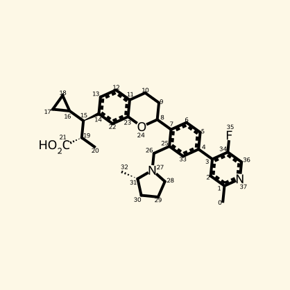 Cc1cc(-c2ccc(C3CCc4ccc([C@H](C5CC5)[C@H](C)C(=O)O)cc4O3)c(CN3CCC[C@@H]3C)c2)c(F)cn1